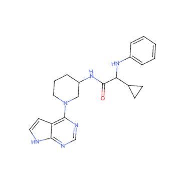 O=C(NC1CCCN(c2ncnc3[nH]ccc23)C1)C(Nc1ccccc1)C1CC1